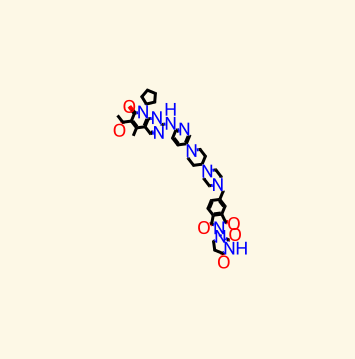 CC(=O)c1c(C)c2cnc(Nc3ccc(N4CCC(N5CCN(Cc6ccc7c(c6)C(=O)N(N6CCC(=O)NC6=O)C7=O)CC5)CC4)cn3)nc2n(C2CCCC2)c1=O